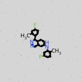 Cc1ccc(F)cc1Nc1ccc2c(-c3ccc(F)cc3C)nncc2c1